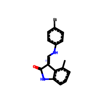 CCc1ccc(N/C=C2/C(=O)Nc3cccc(C)c32)cc1